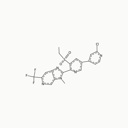 CCS(=O)(=O)c1cc(-c2ccnc(Cl)c2)cnc1-c1nc2cc(C(F)(F)F)ncc2n1C